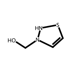 OCN1C=CSN1